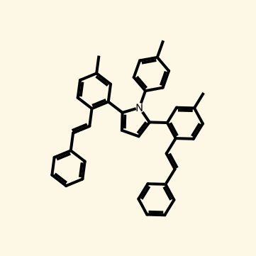 Cc1ccc(-n2c(-c3cc(C)ccc3C=Cc3ccccc3)ccc2-c2cc(C)ccc2C=Cc2ccccc2)cc1